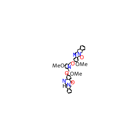 COc1cc(COc2cc3c(cc2OC)C(=O)N2Cc4ccccc4CC2C=N3)nc(COc2cc3c(cc2OC)C(=O)N2Cc4ccccc4C[C@H]2C=N3)c1